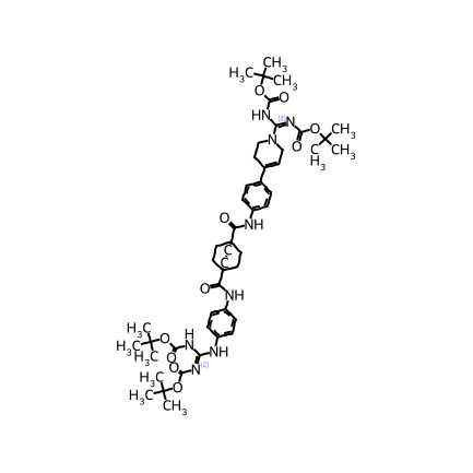 CC(C)(C)OC(=O)/N=C(\NC(=O)OC(C)(C)C)Nc1ccc(NC(=O)C23CCC(C(=O)Nc4ccc(C5=CCN(/C(=N\C(=O)OC(C)(C)C)NC(=O)OC(C)(C)C)CC5)cc4)(CC2)CC3)cc1